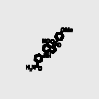 COc1ccc(S(=O)(=O)n2ccc3c(Nc4cccc(C(N)=O)c4)ccc(N=O)c32)cc1